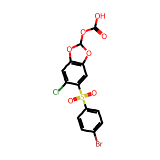 O=C(O)OC1Oc2cc(Cl)c(S(=O)(=O)c3ccc(Br)cc3)cc2O1